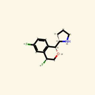 Fc1ccc2c(c1)[C@H](F)CO[C@H]2[C@@H]1CCCN1